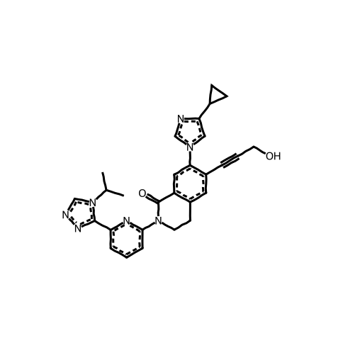 CC(C)n1cnnc1-c1cccc(N2CCc3cc(C#CCO)c(-n4cnc(C5CC5)c4)cc3C2=O)n1